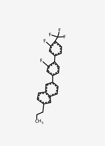 CCCc1ccc2cc(-c3ccc(-c4ccc(C(F)(F)F)c(F)c4)c(F)c3)ccc2c1